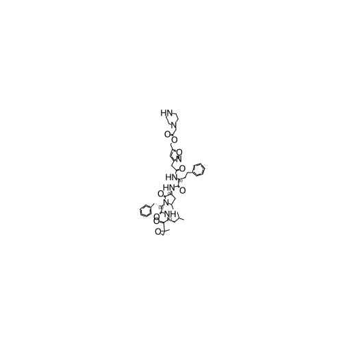 CC(C)C[C@H](NC(=O)[C@H](Cc1ccccc1)N1C(=O)[C@@H](NC(=O)[C@H](CCc2ccccc2)NC(=O)Cc2cc(COC(=O)CN3CCNCC3)on2)CC1C)C(=O)C1(C)CO1